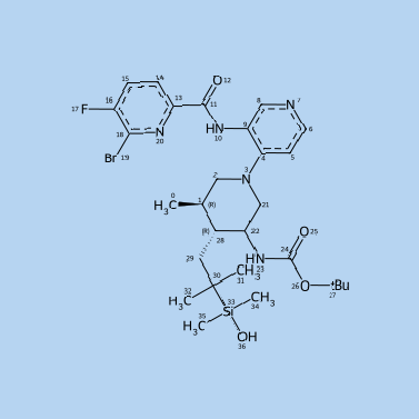 C[C@H]1CN(c2ccncc2NC(=O)c2ccc(F)c(Br)n2)CC(NC(=O)OC(C)(C)C)[C@@H]1CC(C)(C)[Si](C)(C)O